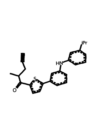 C#CCC(C)C(=O)c1ccc(-c2cccc(Nc3cccc(C(C)C)c3)c2)s1